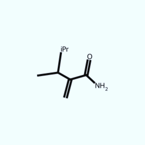 C=C(C(N)=O)C(C)C(C)C